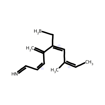 BC/C(=C/C(C)=C\C)C(=C)/C=C\C=N